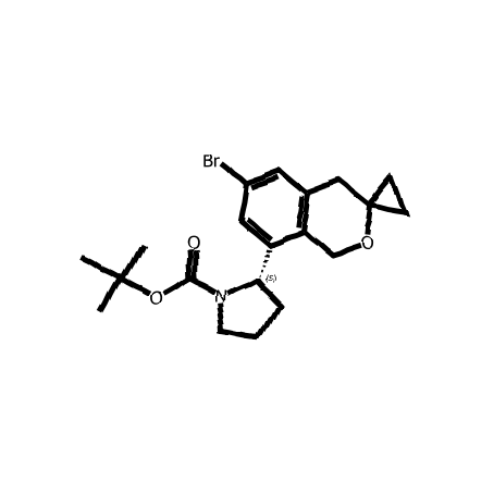 CC(C)(C)OC(=O)N1CCC[C@H]1c1cc(Br)cc2c1COC1(CC1)C2